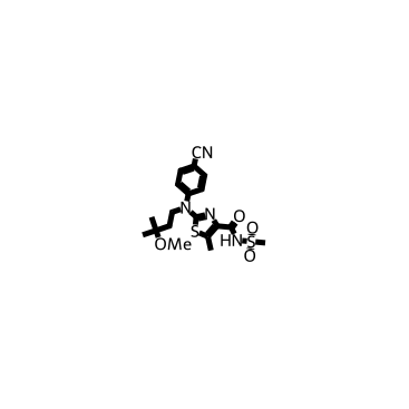 COC(C)(C)CCN(c1ccc(C#N)cc1)c1nc(C(=O)NS(C)(=O)=O)c(C)s1